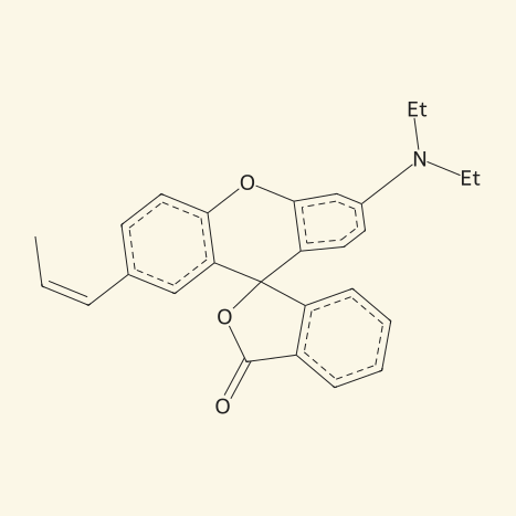 C/C=C\c1ccc2c(c1)C1(OC(=O)c3ccccc31)c1ccc(N(CC)CC)cc1O2